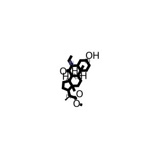 C/C=C1/C(=O)[C@@H]2[C@H](CCC3(C)C([C@H](C)C(=O)OC)CC[C@@H]23)C2(C)CC[C@@H](O)CC12